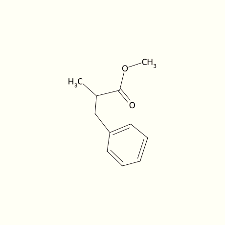 COC(=O)C(C)Cc1ccccc1